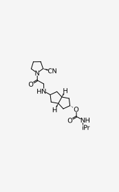 CC(C)NC(=O)O[C@H]1C[C@H]2CC(NCC(=O)N3CCC[C@H]3C#N)C[C@H]2C1